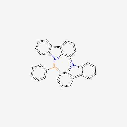 c1ccc(-p2c3cccc4c5ccccc5n(c5cccc6c7ccccc7n2c65)c43)cc1